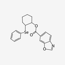 O=C(OC1CCCCC1[Se]c1ccccc1)c1ccc2ncoc2c1